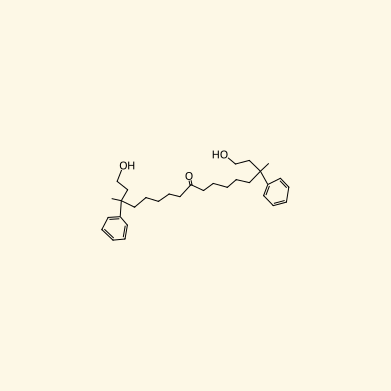 CC(CCO)(CCCCCC(=O)CCCCCC(C)(CCO)c1ccccc1)c1ccccc1